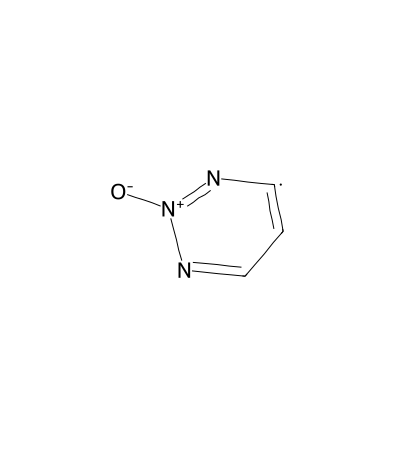 [O-][n+]1n[c]ccn1